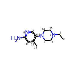 CCN1CCN(c2cnc(N)cc2C)CC1